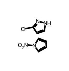 Clc1cc[nH]n1.O=[N+]([O-])n1cccc1